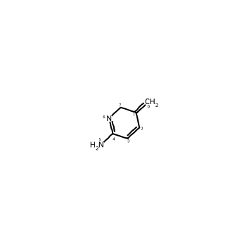 C=C1C=CC(N)=NC1